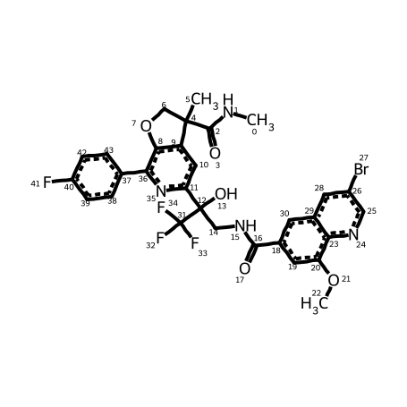 CNC(=O)C1(C)COc2c1cc(C(O)(CNC(=O)c1cc(OC)c3ncc(Br)cc3c1)C(F)(F)F)nc2-c1ccc(F)cc1